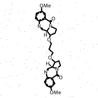 COc1ccc2c(c1)C(=O)N1CCC(OCCCOC3CCN4C(=O)c5cc(OC)ccc5N=C[C@H]34)[C@H]1C=N2